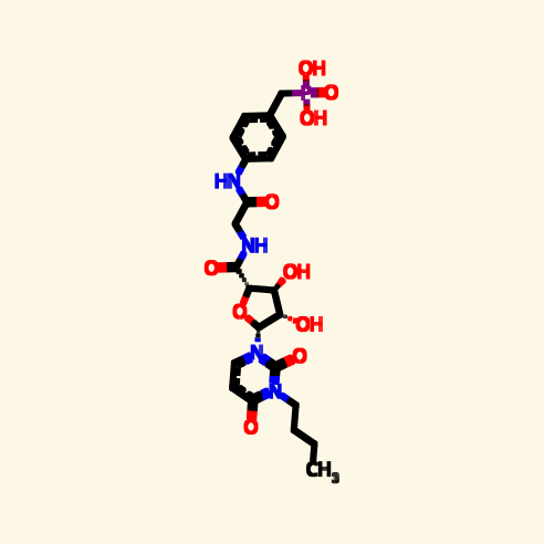 CCCCn1c(=O)ccn([C@@H]2O[C@H](C(=O)NCC(=O)Nc3ccc(CP(=O)(O)O)cc3)[C@@H](O)[C@@H]2O)c1=O